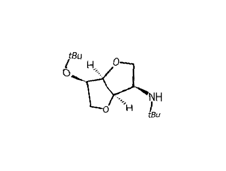 CC(C)(C)N[C@@H]1CO[C@H]2[C@@H]1OC[C@H]2OC(C)(C)C